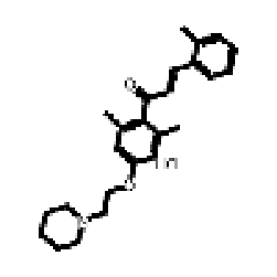 Cc1ccccc1C=CC(=O)c1c(C)cc(OCCN2CCCCC2)cc1C.Cl